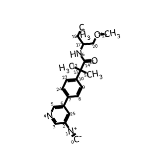 [C-]#[N+]c1cncc(-c2ccc(C(C)(C)C(=O)NC(CC)COC)cc2)c1